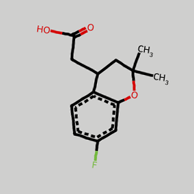 CC1(C)CC(CC(=O)O)c2ccc(F)cc2O1